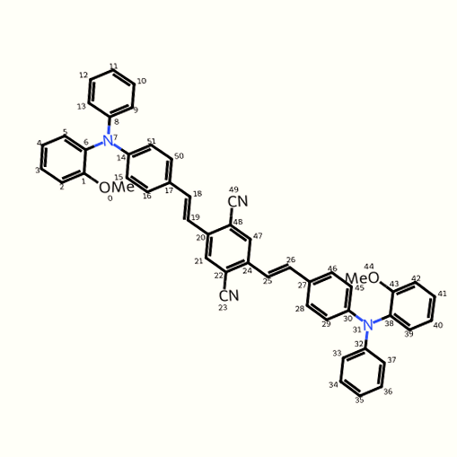 COc1ccccc1N(c1ccccc1)c1ccc(C=Cc2cc(C#N)c(C=Cc3ccc(N(c4ccccc4)c4ccccc4OC)cc3)cc2C#N)cc1